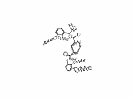 COc1cccc(CNC(=O)c2ccnc(C(=O)OC(N)c3cccc(OC)c3OC)c2)c1OC